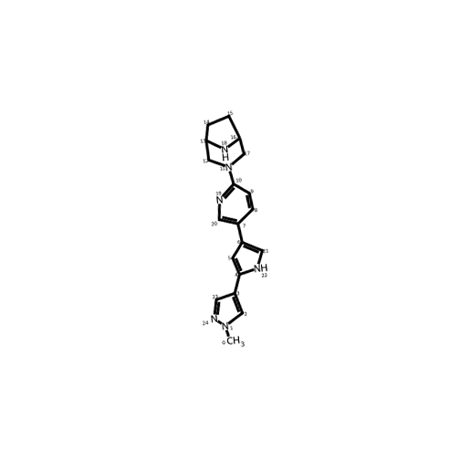 Cn1cc(-c2cc(-c3ccc(N4CC5CCC(C4)N5)nc3)c[nH]2)cn1